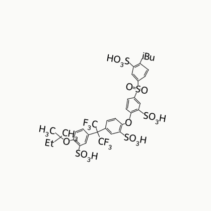 CCC(C)c1ccc(S(=O)(=O)c2ccc(Oc3ccc(C(c4ccc(OC(C)(C)CC)c(S(=O)(=O)O)c4)(C(F)(F)F)C(F)(F)F)cc3S(=O)(=O)O)c(S(=O)(=O)O)c2)cc1S(=O)(=O)O